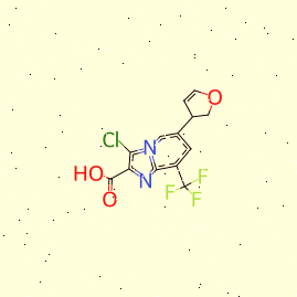 O=C(O)c1nc2c(C(F)(F)F)cc(C3C=COC3)cn2c1Cl